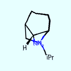 CC(C)N1CC2CCC1[C@@H]2N